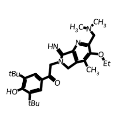 CCOc1c(CN(C)C)nc2c(c1C)CN(CC(=O)c1cc(C(C)(C)C)c(O)c(C(C)(C)C)c1)C2=N